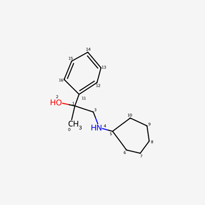 CC(O)(CNC1CCCCC1)c1ccccc1